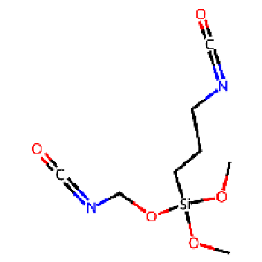 CO[Si](CCCN=C=O)(OC)OCN=C=O